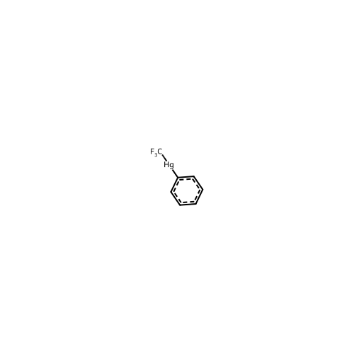 F[C](F)(F)[Hg][c]1ccccc1